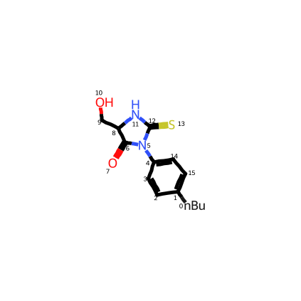 CCCCc1ccc(N2C(=O)C(CO)NC2=S)cc1